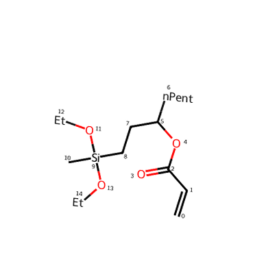 C=CC(=O)OC(CCCCC)CC[Si](C)(OCC)OCC